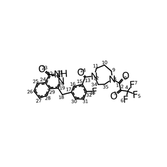 O=C(C(=O)C(F)(F)F)N1CCCN(C(=O)c2cc(Cc3n[nH]c(=O)c4ccccc34)ccc2F)CC1